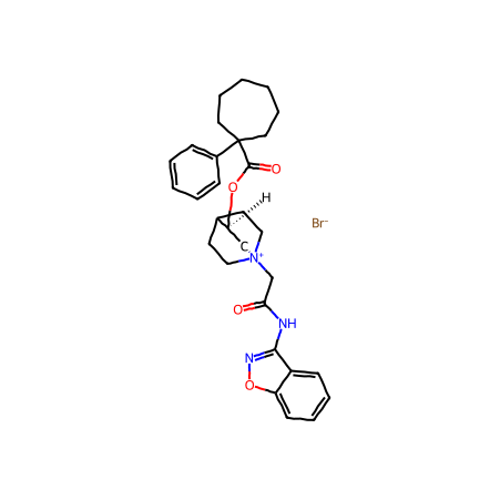 O=C(C[N+]12CCC(CC1)[C@@H](OC(=O)C1(c3ccccc3)CCCCCC1)C2)Nc1noc2ccccc12.[Br-]